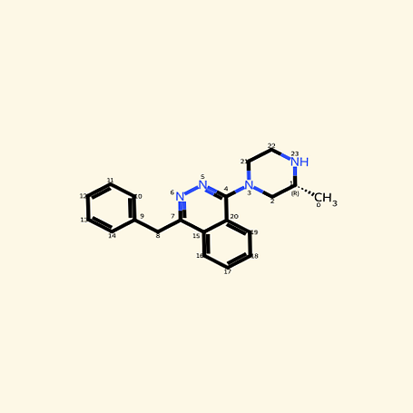 C[C@@H]1CN(c2nnc(Cc3ccccc3)c3ccccc23)CCN1